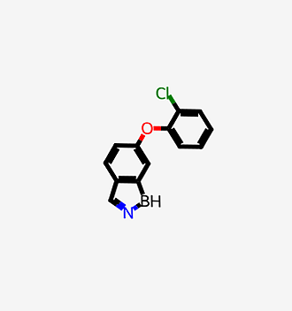 Clc1ccccc1Oc1ccc2c(c1)BN=C2